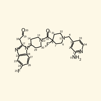 Nc1cc(CN2CCC(F)(C(=O)N3CCC(n4c(CC=O)nc5cc(F)ccc54)CC3)CC2)ccn1